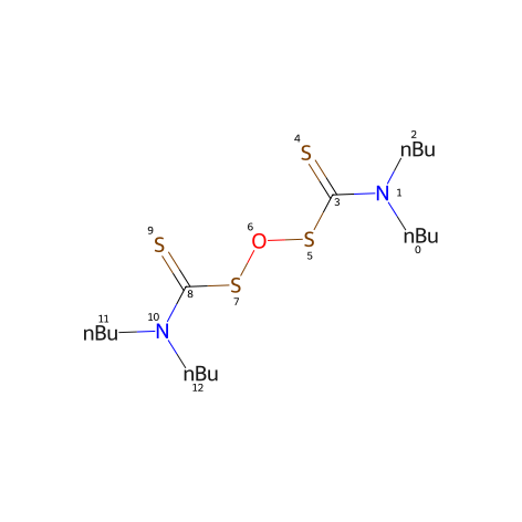 CCCCN(CCCC)C(=S)SOSC(=S)N(CCCC)CCCC